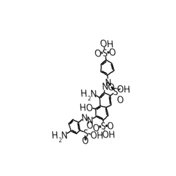 Nc1ccc(N=Nc2c(S(=O)(=O)O)cc3cc(S(=O)(=O)O)c(N=Nc4ccc(S(=O)(=O)O)cc4)c(N)c3c2O)c(S(=O)(=O)O)c1